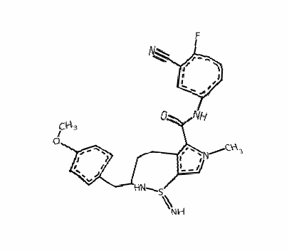 COc1ccc(CC2CCc3c(cn(C)c3C(=O)Nc3ccc(F)c(C#N)c3)S(=N)N2)cc1